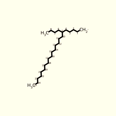 [CH2]CCCCC(CCCC)CCCCCCCCCCCCCCCC